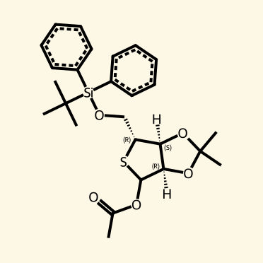 CC(=O)OC1S[C@H](CO[Si](c2ccccc2)(c2ccccc2)C(C)(C)C)[C@H]2OC(C)(C)O[C@@H]12